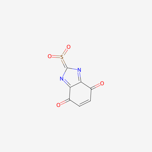 O=c1ccc(=O)c2nc(=S(=O)=O)nc1-2